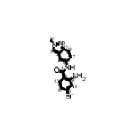 Cn1cc2cc(NC(=O)c3ccc(Br)cc3N)ccc2n1